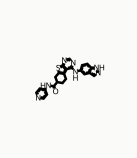 O=C(Nc1ccncc1)C1CCc2c(sc3ncnc(Nc4ccc5[nH]ncc5c4)c23)C1